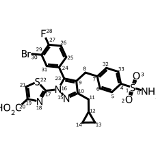 NS(=O)(=O)c1ccc(Cc2c(CC3CC3)nn(-c3nc(C(=O)O)cs3)c2-c2ccc(F)c(Br)c2)cc1